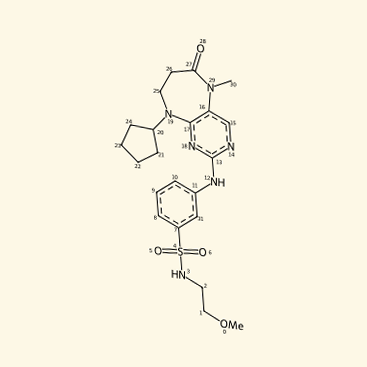 COCCNS(=O)(=O)c1cccc(Nc2ncc3c(n2)N(C2CCCC2)CCC(=O)N3C)c1